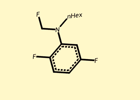 CCCCCCN(CF)c1cc(F)ccc1F